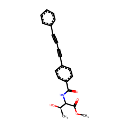 COC(=O)C(NC(=O)c1ccc(C#CC#Cc2ccccc2)cc1)[C@@H](C)O